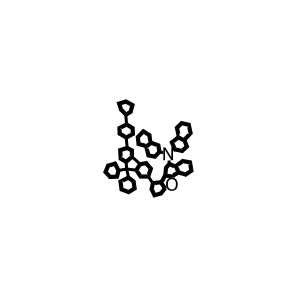 c1ccc(-c2ccc(-c3ccc4c(c3)-c3ccc(-c5cccc6oc7c8ccccc8c(N(c8ccc9ccccc9c8)c8ccc9ccccc9c8)cc7c56)cc3C4(c3ccccc3)c3ccccc3)cc2)cc1